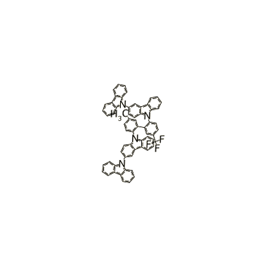 Cc1ccc(-n2c3ccccc3c3cc(-n4c5ccccc5c5ccccc54)ccc32)c(-c2cc(C(F)(F)F)ccc2-n2c3ccccc3c3cc(-n4c5ccccc5c5ccccc54)ccc32)c1